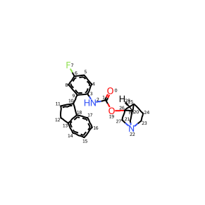 O=C(Nc1ccc(F)cc1C1=CCc2ccccc21)O[C@H]1CN2CCC1CC2